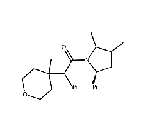 CC(C)C(C(=O)N1C(C)C(C)C[C@H]1C(C)C)C1(C)CCOCC1